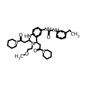 CCc1cccc(NC(=O)Nc2ccc3c(c2)C(CC(=O)N2CCCCC2)N(CCOC)C(CC(=O)N2CCCCC2)N3)c1